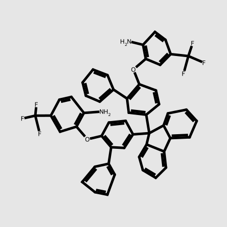 Nc1ccc(C(F)(F)F)cc1Oc1ccc(C2(c3ccc(Oc4cc(C(F)(F)F)ccc4N)c(-c4ccccc4)c3)c3ccccc3-c3ccccc32)cc1-c1ccccc1